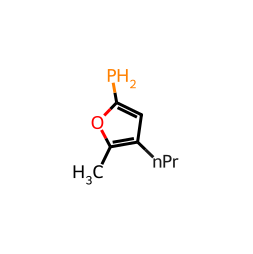 CCCc1cc(P)oc1C